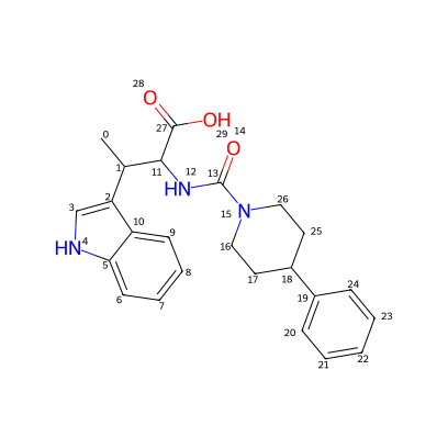 CC(c1c[nH]c2ccccc12)C(NC(=O)N1CCC(c2ccccc2)CC1)C(=O)O